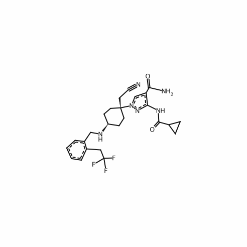 N#CC[C@]1(n2cc(C(N)=O)c(NC(=O)C3CC3)n2)CC[C@H](NCc2ccccc2CC(F)(F)F)CC1